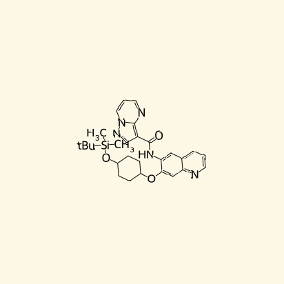 CC(C)(C)[Si](C)(C)OC1CCC(Oc2cc3ncccc3cc2NC(=O)c2cnn3cccnc23)CC1